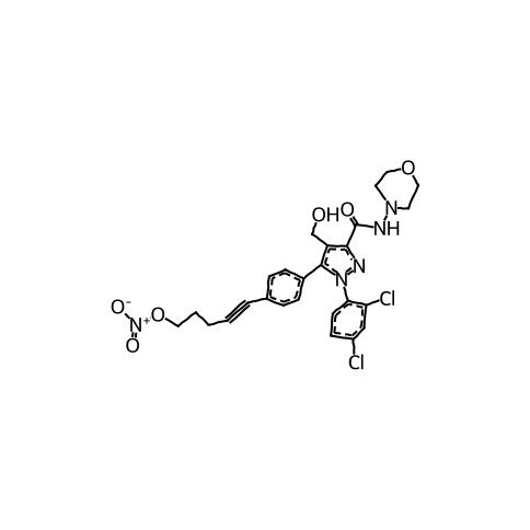 O=C(NN1CCOCC1)c1nn(-c2ccc(Cl)cc2Cl)c(-c2ccc(C#CCCCO[N+](=O)[O-])cc2)c1CO